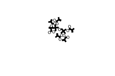 C=C(C)C(=O)OCC(COCC(COC(=O)C(=C)C)(COC(=O)C(=C)C)COC(=O)C(=C)C)(COC(=O)C(=C)C)COC(=O)C(=C)C